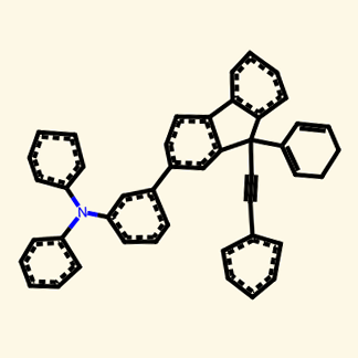 C(#CC1(C2=CCCC=C2)c2ccccc2-c2ccc(-c3cccc(N(c4ccccc4)c4ccccc4)c3)cc21)c1ccccc1